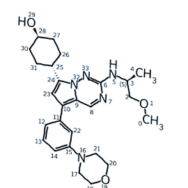 COC[C@H](C)Nc1ncc2c(-c3cccc(N4CCOCC4)c3)cc([C@H]3CC[C@H](O)CC3)n2n1